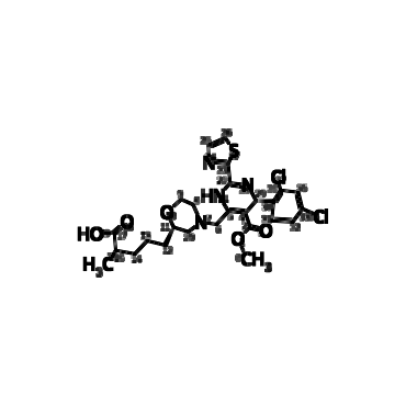 COC(=O)C1=C(CN2CCO[C@H](CCCC(C)C(=O)O)C2)NC(c2nccs2)=N[C@H]1c1ccc(Cl)cc1Cl